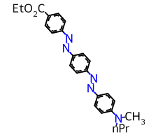 CCCN(C)c1ccc(N=Nc2ccc(N=Nc3ccc(C(=O)OCC)cc3)cc2)cc1